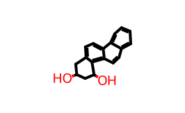 OC1Cc2ccc3c(ccc4ccccc43)c2C(O)C1